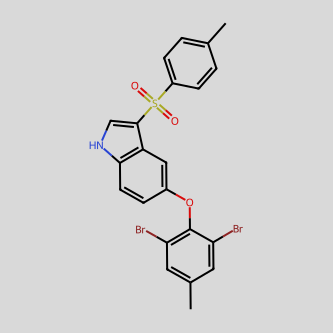 Cc1ccc(S(=O)(=O)c2c[nH]c3ccc(Oc4c(Br)cc(C)cc4Br)cc23)cc1